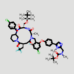 C[C@H]1C(=O)N[C@@H](CO[Si](C)(C)C(C)(C)C)C(=O)N(C)[C@@]2(Cc3ccc(Cl)cc3)CCCN(C2)C(=O)[C@H](CC(F)(F)F)CC(=O)N1Cc1c(F)cc(Cl)cc1Oc1ccc(-c2cnc(CN(C)C(=O)OC(C)(C)C)n2C)cc1